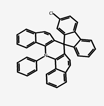 Clc1ccc2c(c1)C1(c3ccccc3-2)c2ccc3ccccc3c2N(c2ccccc2)c2c1ccc1ccccc21